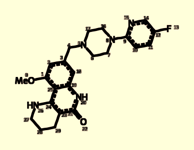 COc1cc(CN2CCN(c3ccc(F)cn3)CC2)cc2[nH]c(=O)c3c(c12)NCCC3